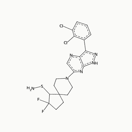 NSC1C(F)(F)CCC12CCN(c1cnc3c(-c4cccc(Cl)c4Cl)n[nH]c3n1)CC2